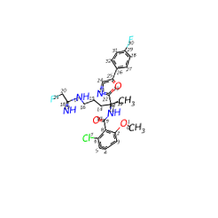 COc1cccc(Cl)c1C(=O)N[C@](C)(CCCNC(=N)CF)c1ncc(-c2ccc(F)cc2)o1